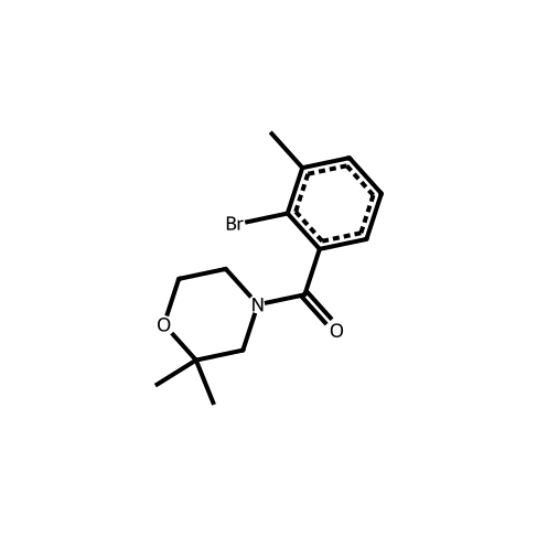 Cc1cccc(C(=O)N2CCOC(C)(C)C2)c1Br